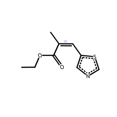 CCOC(=O)/C(C)=C\c1cncs1